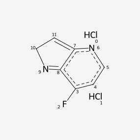 Cl.Cl.Fc1ccnc2c1=NCC=2